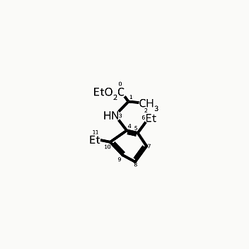 CCOC(=O)C(C)Nc1c(CC)cccc1CC